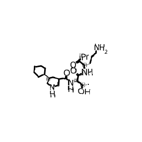 CC(C)C(=O)[C@H](CCCN)NC(=O)[C@@H](NC(=O)C1CNC[C@@H](C2CCCCC2)C1)[C@H](C)O